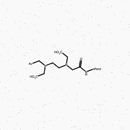 CCCCCNC(=O)CN(CCN(CC(C)=O)CC(=O)O)CC(=O)O